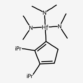 CC(C)C1=CC[C]([Hf]([N](C)C)([N](C)C)[N](C)C)=C1C(C)C